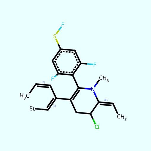 C/C=C\C(=C/CC)C1=C(c2c(F)cc(SF)cc2F)N(C)/C(=C/C)C(Cl)C1